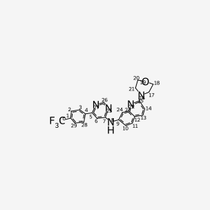 FC(F)(F)c1ccc(-c2cc(Nc3ccc4ccc(N5CCOCC5)nc4c3)ncn2)cc1